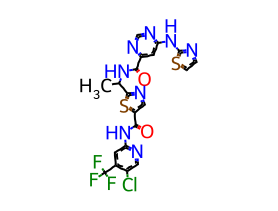 CC(NC(=O)c1cc(Nc2nccs2)ncn1)c1ncc(C(=O)Nc2cc(C(F)(F)F)c(Cl)cn2)s1